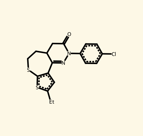 CCc1cc2c(s1)SCCC1CC(=O)N(c3ccc(Cl)cc3)N=C21